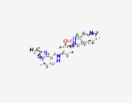 Cc1nc2c(CN[C@H]3CC[C@H](NCc4cc5cccnc5cc4F)[C@H](O)C3)cccn2n1